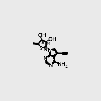 C#Cc1cn([C@@H]2SC(=C)[C@@H](O)[C@H]2O)c2ncnc(N)c12